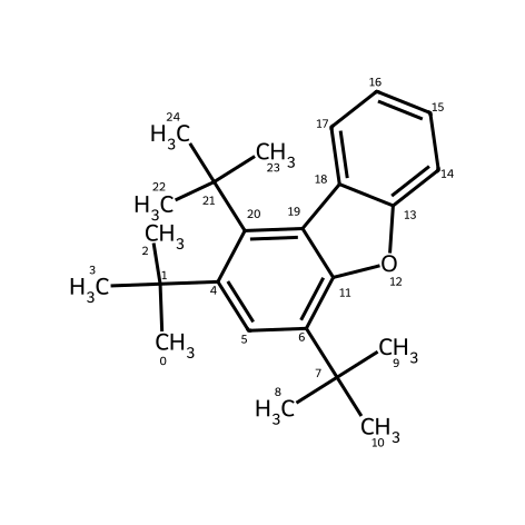 CC(C)(C)c1cc(C(C)(C)C)c2oc3ccccc3c2c1C(C)(C)C